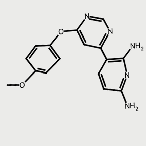 COc1ccc(Oc2cc(-c3ccc(N)nc3N)ncn2)cc1